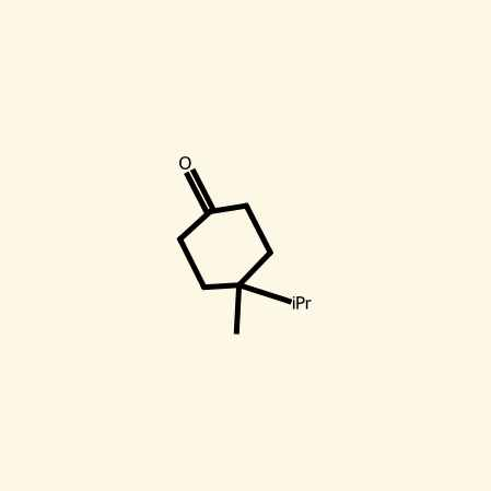 CC(C)C1(C)CCC(=O)CC1